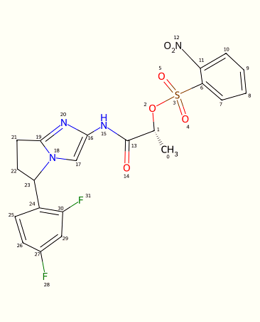 C[C@@H](OS(=O)(=O)c1ccccc1[N+](=O)[O-])C(=O)Nc1cn2c(n1)CCC2c1ccc(F)cc1F